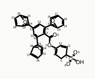 O=C(OC1=CCC(S(=O)(=O)O)C=C1)c1c(-c2cc3ccc2o3)cc(-c2cc3ccc2o3)cc1-c1cc2ccc1o2